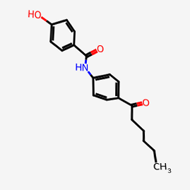 CCCCCC(=O)c1ccc(NC(=O)c2ccc(O)cc2)cc1